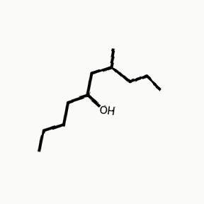 CCCCC(O)CC(C)CCC